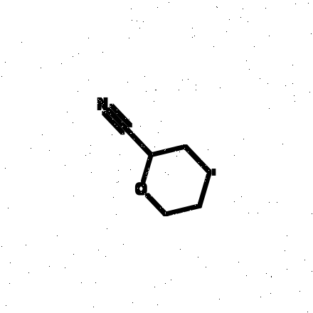 N#CC1C[C]CCO1